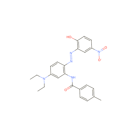 CCN(CC)c1ccc(N=Nc2cc([N+](=O)[O-])ccc2O)c(NC(=O)c2ccc(C)cc2)c1